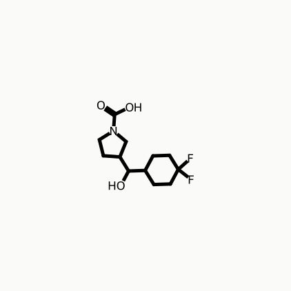 O=C(O)N1CCC(C(O)C2CCC(F)(F)CC2)C1